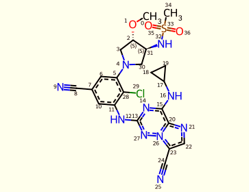 CO[C@H]1CN(c2cc(C#N)cc(Nc3nc(NC4CC4)c4ncc(C#N)n4n3)c2Cl)C[C@@H]1NS(C)(=O)=O